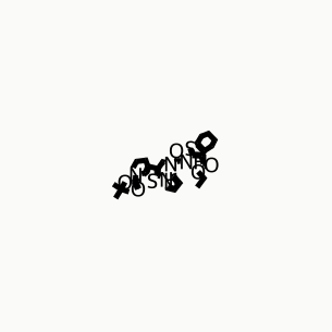 CCOC(=O)c1c(NC(=O)NCc2c(-n3cccc3)sc3c2CCCN3C(=O)OC(C)(C)C)sc2c1CCCC2